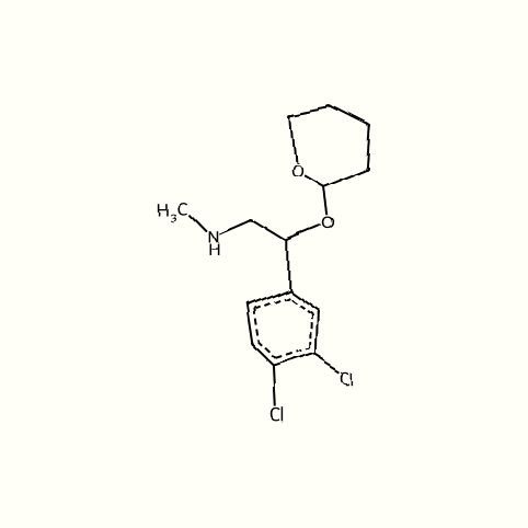 CNCC(OC1CCCCO1)c1ccc(Cl)c(Cl)c1